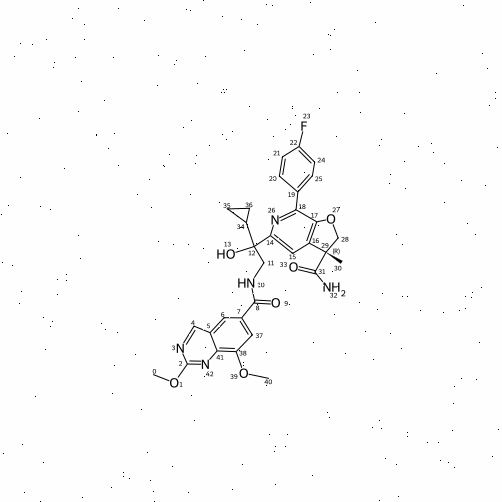 COc1ncc2cc(C(=O)NCC(O)(c3cc4c(c(-c5ccc(F)cc5)n3)OC[C@]4(C)C(N)=O)C3CC3)cc(OC)c2n1